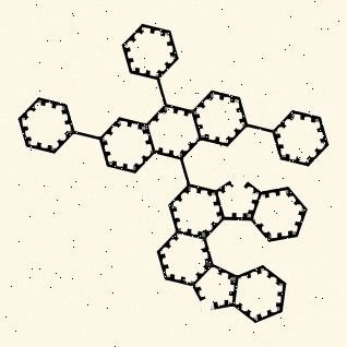 c1ccc(-c2ccc3c(-c4cc5ccc6oc7ccccc7c6c5c5c4oc4ccccc45)c4cc(-c5ccccc5)ccc4c(-c4ccccc4)c3c2)cc1